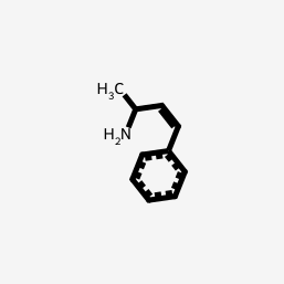 CC(N)/C=C\c1ccccc1